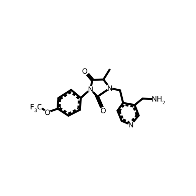 CC1C(=O)N(c2ccc(OC(F)(F)F)cc2)C(=O)N1Cc1ccncc1CN